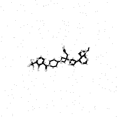 CCn1ncc2c(-c3cnn(C4(CC#N)CN(C5CCN(C(=O)c6ccnc(C(F)(F)F)c6F)CC5)C4)c3)ncnc21